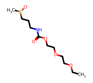 CCOCCOCCOC(=O)NCCC[S+](C)[O-]